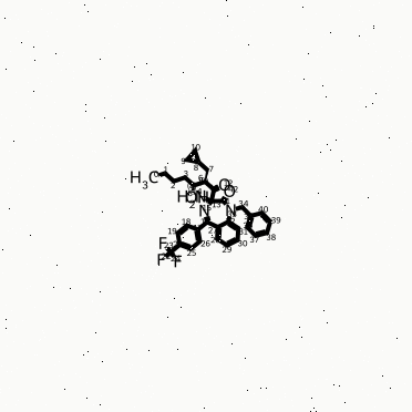 CCCC[C@H](O)[C@@H](CC1CC1)C(=O)C1(N)N=C(c2ccc(C(F)(F)F)cc2)c2ccccc2N(Cc2ccccc2)C1=O